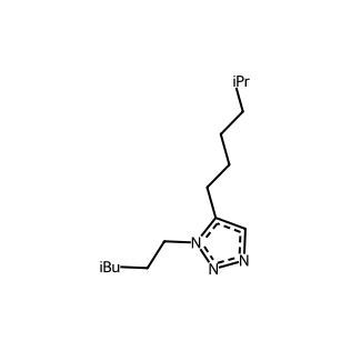 CCC(C)CCn1nncc1CCCCC(C)C